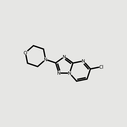 Clc1ccn2nc(N3CCOCC3)nc2n1